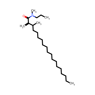 C=C(C(=O)N(C)CCC)C(C)CCCCCCCCCCCCCCCC